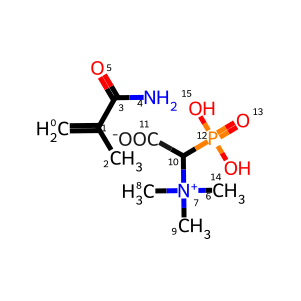 C=C(C)C(N)=O.C[N+](C)(C)C(C(=O)[O-])P(=O)(O)O